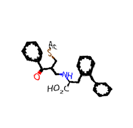 CC(=O)SCC(CN[C@@H](Cc1ccccc1-c1ccccc1)C(=O)O)C(=O)c1ccccc1